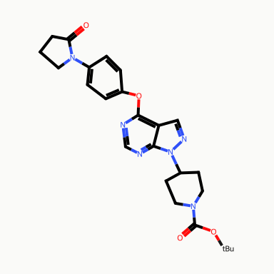 CC(C)(C)OC(=O)N1CCC(n2ncc3c(Oc4ccc(N5CCCC5=O)cc4)ncnc32)CC1